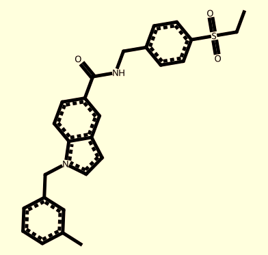 CCS(=O)(=O)c1ccc(CNC(=O)c2ccc3c(ccn3Cc3cccc(C)c3)c2)cc1